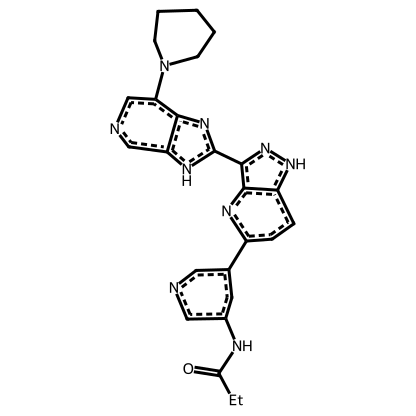 CCC(=O)Nc1cncc(-c2ccc3[nH]nc(-c4nc5c(N6CCCCC6)cncc5[nH]4)c3n2)c1